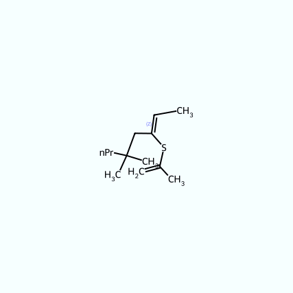 C=C(C)S/C(=C\C)CC(C)(C)CCC